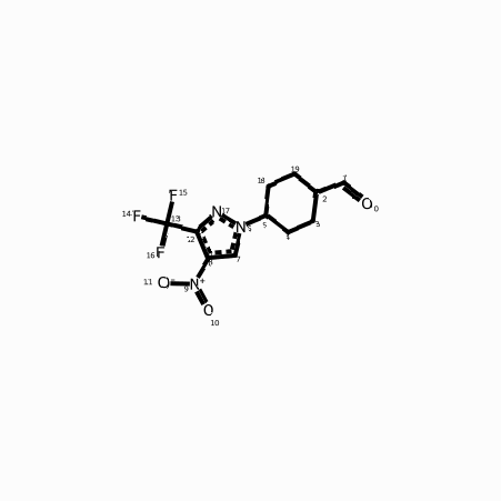 O=CC1CCC(n2cc([N+](=O)[O-])c(C(F)(F)F)n2)CC1